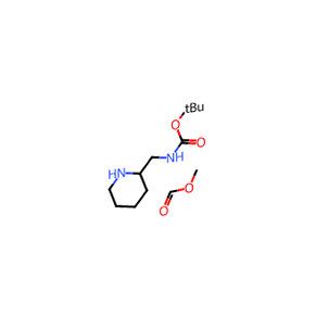 CC(C)(C)OC(=O)NCC1CCCCN1.COC=O